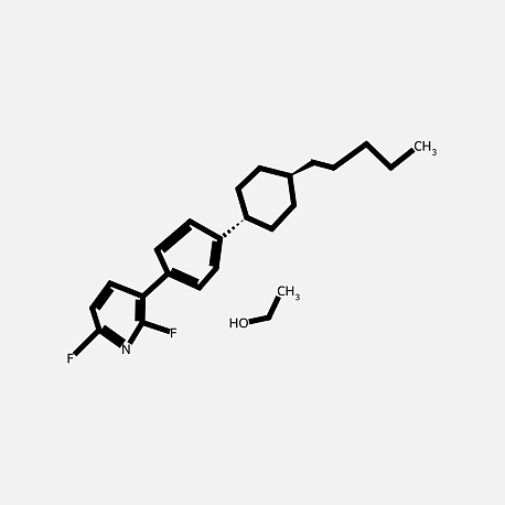 CCCCC[C@H]1CC[C@H](c2ccc(-c3ccc(F)nc3F)cc2)CC1.CCO